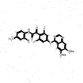 COc1cc2ncnc(Oc3cc(F)c(C(=O)C(=O)Nc4ccc(C)cc4Br)c(F)c3)c2cc1OC